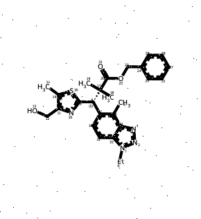 CCn1nnc2c(C)c([C@H](c3nc(CO)c(C)s3)C(C)(C)C(=O)OCc3ccccc3)ccc21